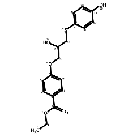 CCOC(=O)c1ccc(OCC(O)CSc2ccc(O)cc2)cc1